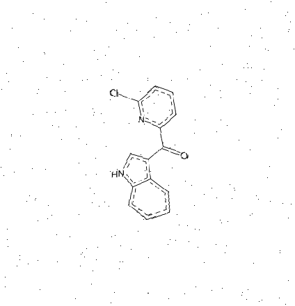 O=C(c1cccc(Cl)n1)c1c[nH]c2ccccc12